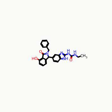 CCNC(=O)Nc1nc2cc(C3c4cccc(O)c4C(=O)N3Cc3ccccc3)ccc2[nH]1